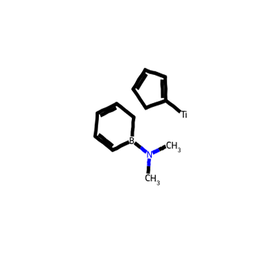 CN(C)B1C=CC=CC1.[Ti][C]1=CC=CC1